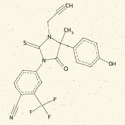 C#CCN1C(=S)N(c2ccc(C#N)c(C(F)(F)F)c2)C(=O)C1(C)c1ccc(O)cc1